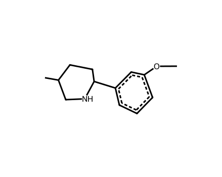 COc1cccc(C2CCC(C)CN2)c1